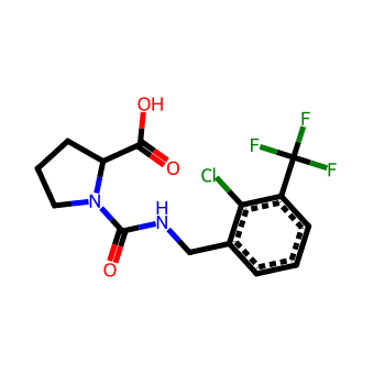 O=C(O)C1CCCN1C(=O)NCc1cccc(C(F)(F)F)c1Cl